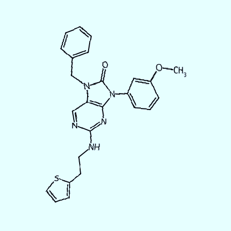 COc1cccc(-n2c(=O)n(Cc3ccccc3)c3cnc(NCCc4cccs4)nc32)c1